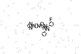 O=C(Cn1nc(-c2cccc(F)c2)nc1-c1ccccc1)N1CCN(c2ncccn2)CC1